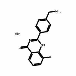 Br.Cc1cccc2c(=O)nc(-c3ccc(CN)cc3)[nH]c12